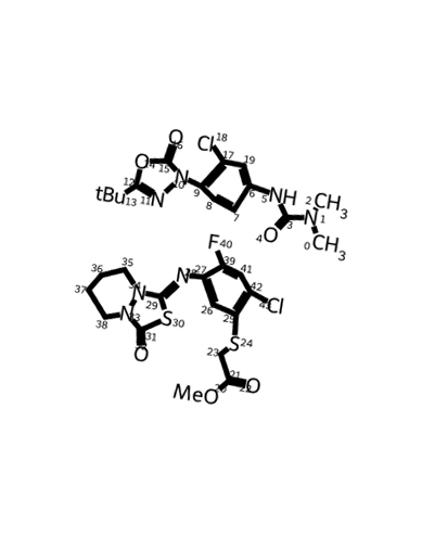 CN(C)C(=O)Nc1ccc(-n2nc(C(C)(C)C)oc2=O)c(Cl)c1.COC(=O)CSc1cc(/N=c2\sc(=O)n3n2CCCC3)c(F)cc1Cl